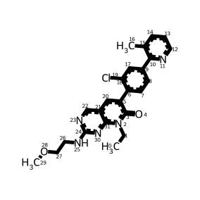 CCn1c(=O)c(-c2ccc(-c3ncccc3C)cc2Cl)cc2cnc(NCCOC)nc21